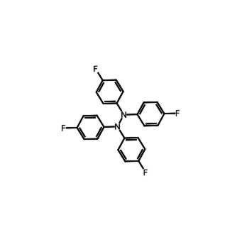 Fc1ccc(N(c2ccc(F)cc2)N(c2ccc(F)cc2)c2ccc(F)cc2)cc1